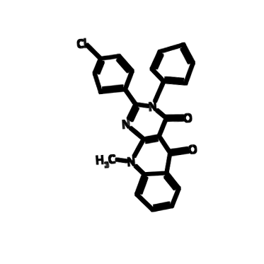 Cn1c2ccccc2c(=O)c2c(=O)n(-c3ccccc3)c(-c3ccc(Cl)cc3)nc21